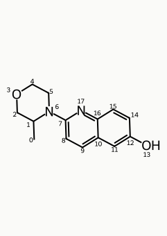 CC1COCCN1c1ccc2cc(O)ccc2n1